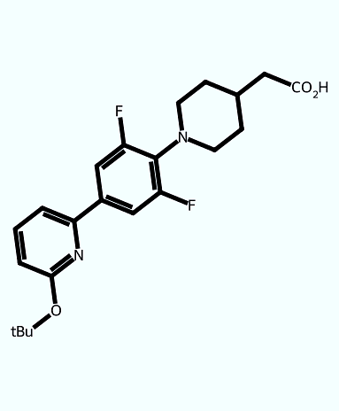 CC(C)(C)Oc1cccc(-c2cc(F)c(N3CCC(CC(=O)O)CC3)c(F)c2)n1